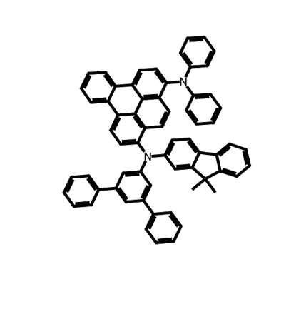 CC1(C)c2ccccc2-c2ccc(N(c3cc(-c4ccccc4)cc(-c4ccccc4)c3)c3ccc4c5ccccc5c5ccc(N(c6ccccc6)c6ccccc6)c6ccc3c4c65)cc21